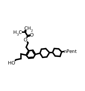 C=C(C)C(=O)OCCc1cc(C2CCC(C3CCC(CCCCC)CC3)CC2)ccc1CCCO